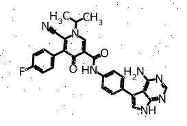 CC(C)n1cc(C(=O)Nc2ccc(-c3c[nH]c4ncnc(N)c34)cc2)c(=O)c(-c2ccc(F)cc2)c1C#N